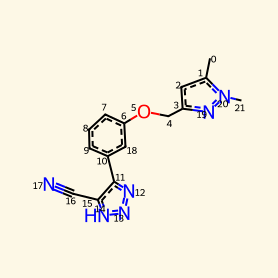 Cc1cc(COc2cccc(-c3nn[nH]c3C#N)c2)nn1C